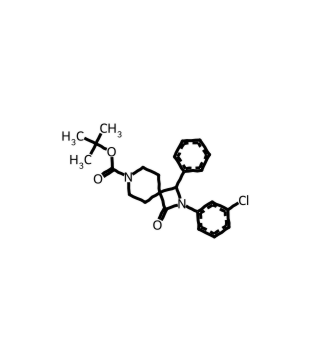 CC(C)(C)OC(=O)N1CCC2(CC1)C(=O)N(c1cccc(Cl)c1)C2c1ccccc1